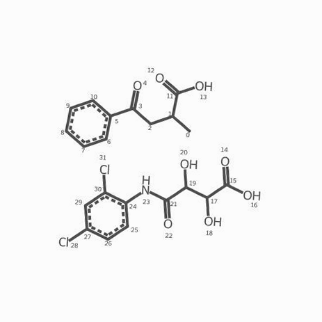 CC(CC(=O)c1ccccc1)C(=O)O.O=C(O)C(O)C(O)C(=O)Nc1ccc(Cl)cc1Cl